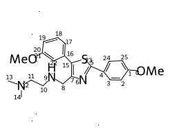 COc1ccc(-c2nc(CNCCN(C)C)c(-c3cccc(OC)c3)s2)cc1